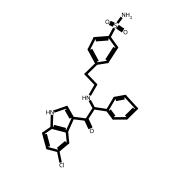 NS(=O)(=O)c1ccc(CCNC(C(=O)c2c[nH]c3ccc(Cl)cc23)c2ccccc2)cc1